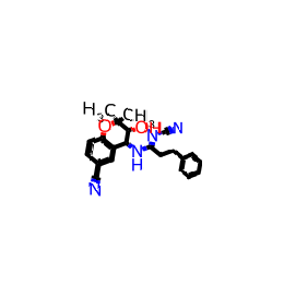 CC1(C)Oc2ccc(C#N)cc2C(NC(CCc2ccccc2)=NC#N)C1O